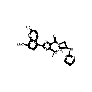 COc1ccc(-c2nc(C(=O)N3CC(Nc4ncccn4)C3)c([C@H](C)N)o2)c2ccc(C(F)(F)F)nc12